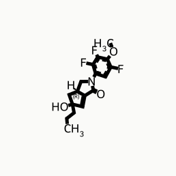 CCCC1(O)C=C2C(=O)N(c3cc(F)c(OC)c(F)c3F)C[C@@H]2C1